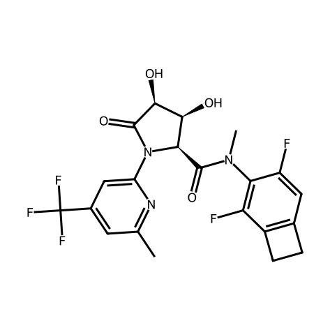 Cc1cc(C(F)(F)F)cc(N2C(=O)[C@@H](O)[C@@H](O)[C@H]2C(=O)N(C)c2c(F)cc3c(c2F)CC3)n1